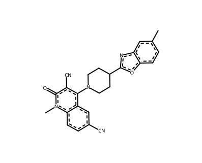 Cc1ccc2oc(C3CCN(c4c(C#N)c(=O)n(C)c5ccc(C#N)cc45)CC3)nc2c1